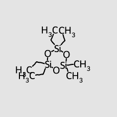 CC[Si]1(CC)O[Si](C)(C)O[Si](CC)(CC)O1